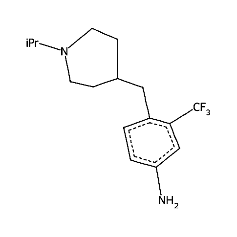 CC(C)N1CCC(Cc2ccc(N)cc2C(F)(F)F)CC1